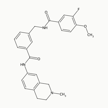 COc1ccc(C(=O)NCc2cccc(C(=O)Nc3ccc4c(c3)CN(C)CC4)c2)cc1F